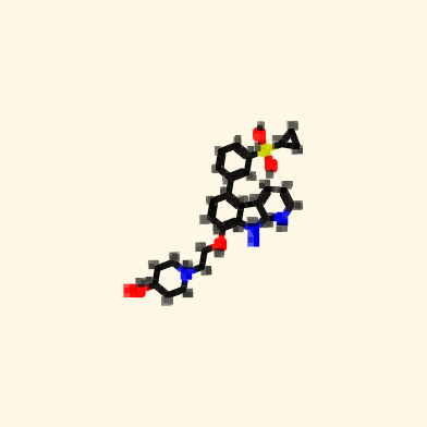 O=S(=O)(c1cccc(-c2ccc(OCCN3CCC(O)CC3)c3[nH]c4ncccc4c23)c1)C1CC1